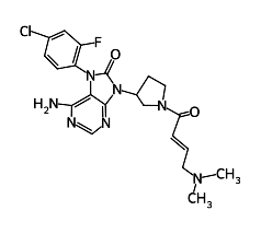 CN(C)C/C=C/C(=O)N1CCC(n2c(=O)n(-c3ccc(Cl)cc3F)c3c(N)ncnc32)C1